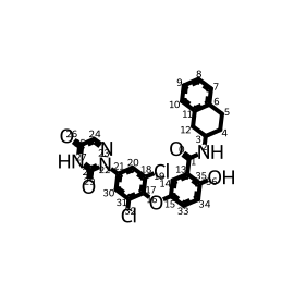 O=C(NC1CCc2ccccc2C1)c1cc(Oc2c(Cl)cc(-n3ncc(=O)[nH]c3=O)cc2Cl)ccc1O